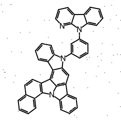 c1cc(-n2c3ccccc3c3c4c5ccc6ccccc6c5n5c6ccccc6c(cc32)c45)cc(-n2c3ccccc3c3cccnc32)c1